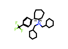 FC(F)(F)c1ccc([C@@H]2CCCCC[C@H]2N(CC2CCCCC2)CC2CCCCC2)cc1